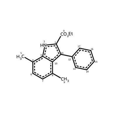 CCOC(=O)c1[nH]c2c(C)ccc(C)c2c1-c1ccccc1